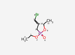 CCOP(=O)(CC=CBr)OCC